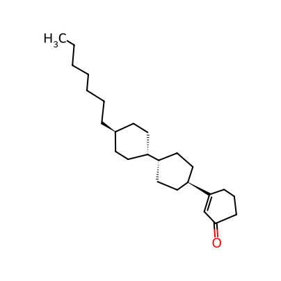 CCCCCCC[C@H]1CC[C@H]([C@H]2CC[C@H](C3=CC(=O)CCC3)CC2)CC1